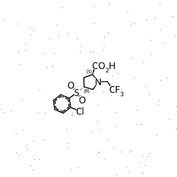 O=C(O)[C@@H]1C[C@@H](S(=O)(=O)c2ccccc2Cl)CN1CC(F)(F)F